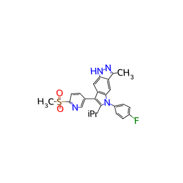 Cc1n[nH]c2cc3c(-c4ccc(S(C)(=O)=O)nc4)c(C(C)C)n(-c4ccc(F)cc4)c3cc12